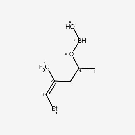 CC/C=C(\CC(C)OBO)C(F)(F)F